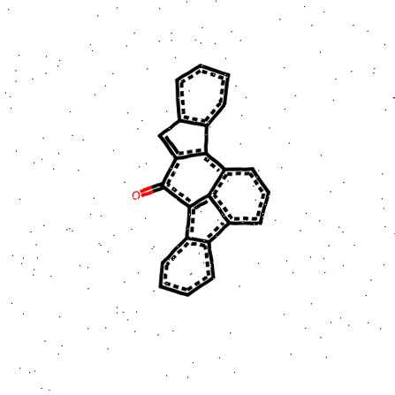 O=c1c2c(c3cccc4c3=c1c1ccccc14)-c1ccccc1C=2